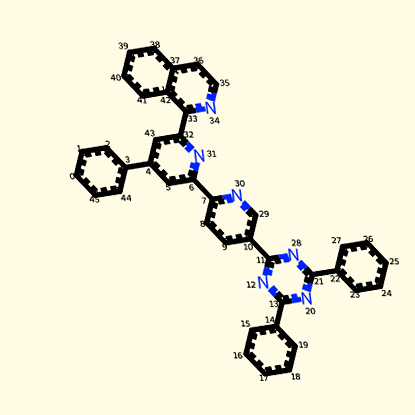 c1ccc(-c2cc(-c3ccc(-c4nc(-c5ccccc5)nc(-c5ccccc5)n4)cn3)nc(-c3nccc4ccccc34)c2)cc1